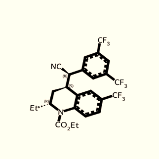 CCOC(=O)N1c2ccc(C(F)(F)F)cc2[C@H]([C@@H](C#N)c2cc(C(F)(F)F)cc(C(F)(F)F)c2)C[C@H]1CC